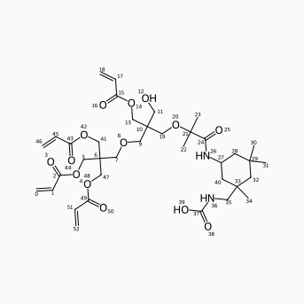 C=CC(=O)OCC(COCC(CO)(COC(=O)C=C)COC(C)(C)C(=O)NC1CC(C)(C)CC(C)(CNC(=O)O)C1)(COC(=O)C=C)COC(=O)C=C